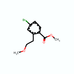 COCCc1cc(Br)ccc1C(=O)OC